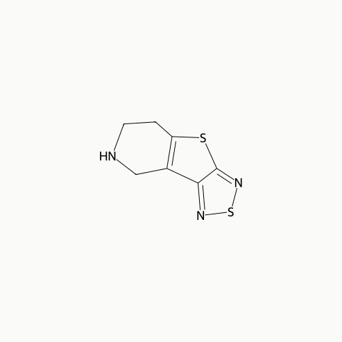 C1Cc2sc3nsnc3c2CN1